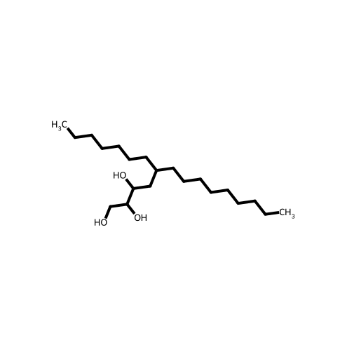 CCCCCCCCCC(CCCCCCC)CC(O)C(O)CO